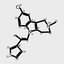 CC(=Cn1c2c(c3cc(Cl)ccc31)CN(C)CC2)c1ccsc1